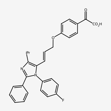 CC(C)c1nc(-c2ccccc2)n(-c2ccc(F)cc2)c1/C=C/COc1ccc(C(=O)C(=O)O)cc1